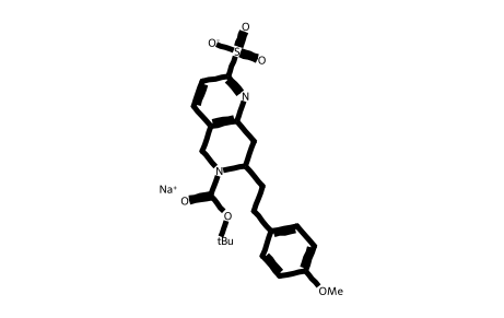 COc1ccc(CCC2Cc3nc(S(=O)(=O)[O-])ccc3CN2C(=O)OC(C)(C)C)cc1.[Na+]